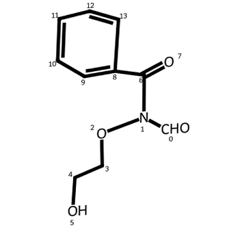 O=CN(OCCO)C(=O)c1ccccc1